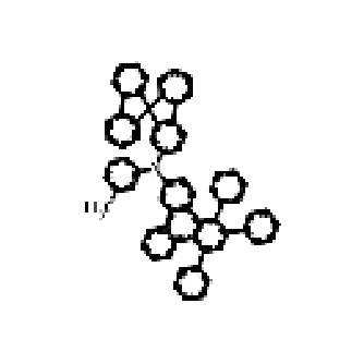 Cc1cccc(N(c2ccc3c(c2)C2(c4ccccc4-c4ccccc42)c2ccccc2-3)c2ccc3c(c2)c2ccccc2c2c(-c4ccccc4)cc(-c4ccccc4)c(-c4ccccc4)c32)c1